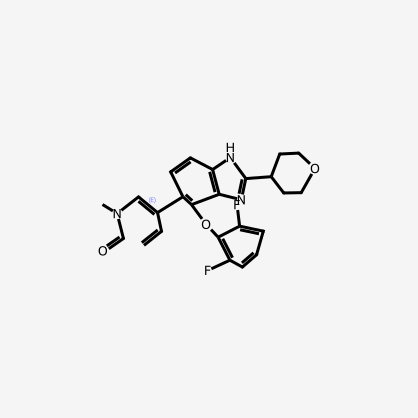 C=C/C(=C\N(C)C=O)c1ccc2[nH]c(C3CCOCC3)nc2c1Oc1c(F)cccc1F